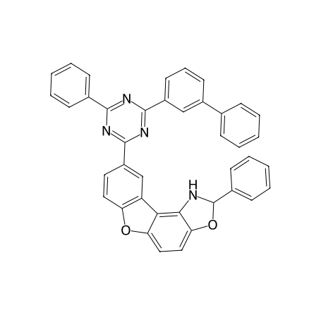 c1ccc(-c2cccc(-c3nc(-c4ccccc4)nc(-c4ccc5oc6ccc7c(c6c5c4)NC(c4ccccc4)O7)n3)c2)cc1